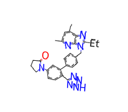 CCc1nc2c(C)cc(C)nc2n1Cc1ccc(-c2cc(N3CCCC3=O)ccc2-c2nn[nH]n2)cc1